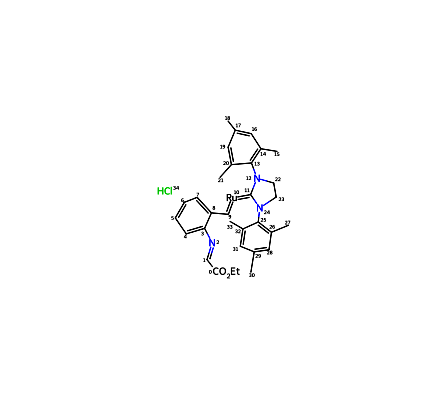 CCOC(=O)C=Nc1ccccc1[CH]=[Ru]=[C]1N(c2c(C)cc(C)cc2C)CCN1c1c(C)cc(C)cc1C.Cl